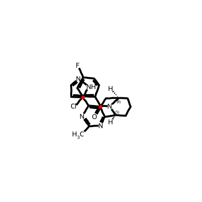 Cc1nc(-c2ccn[nH]2)c2c(n1)[C@@H]1CCC[C@H](C2)N1C(=O)c1ccc(F)cc1Cl